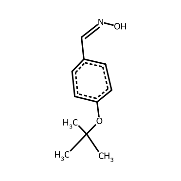 CC(C)(C)Oc1ccc(/C=N\O)cc1